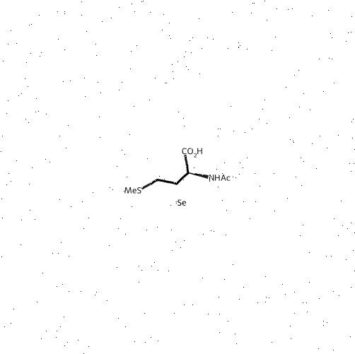 CSCC[C@H](NC(C)=O)C(=O)O.[Se]